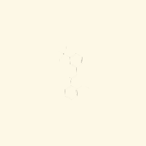 CSc1ccccc1N=Cc1cccc(C(F)(F)F)c1